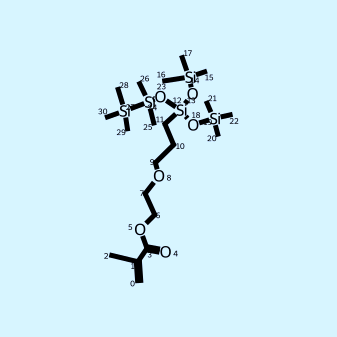 C=C(C)C(=O)OCCOCCC[Si](O[Si](C)(C)C)(O[Si](C)(C)C)O[Si](C)(C)[Si](C)(C)C